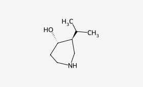 CC(C)[C@H]1CNCC[C@@H]1O